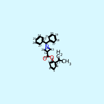 C=C(C)c1ccccc1OC(=O)C1CN(C(c2ccccc2)c2ccccc2)C1